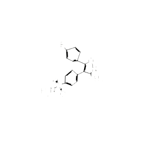 Cc1noc(-c2ccc(F)cc2)c1-c1ccc(S(N)(=O)=O)cc1